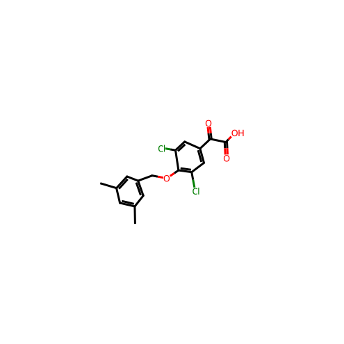 Cc1cc(C)cc(COc2c(Cl)cc(C(=O)C(=O)O)cc2Cl)c1